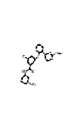 CNc1nccc(-c2cccnc2Oc2cc(F)cc(C(=O)Nc3cccc(C(C)C)c3)c2)n1